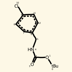 CC(C)(C)OC(=O)NCc1ccc(Cl)cc1